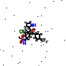 CC1(NS(C)(=O)=O)C=C(Cl)C(C)(Cc2ccc[nH]2)C(C(=O)c2ccc(C(F)(F)F)cc2)=C1